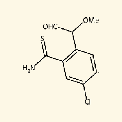 COC(C=O)c1c[c]c(Cl)cc1C(N)=S